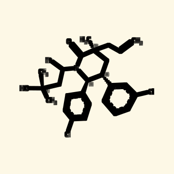 C=CC[C@@]1(C)C[C@H](c2cccc(Cl)c2)[C@@H](c2ccc(Cl)cc2)N(C(CC)C[C@](C)(O)C(F)(F)F)C1=O